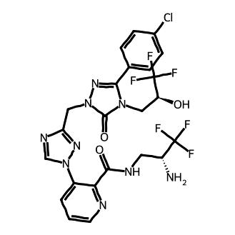 N[C@H](CNC(=O)c1ncccc1-n1cnc(Cn2nc(-c3ccc(Cl)cc3)n(C[C@H](O)C(F)(F)F)c2=O)n1)C(F)(F)F